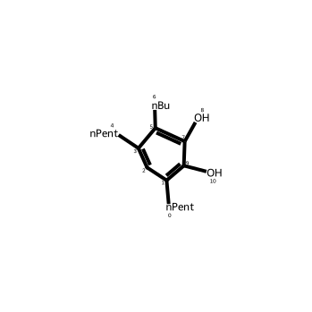 CCCCCc1cc(CCCCC)c(CCCC)c(O)c1O